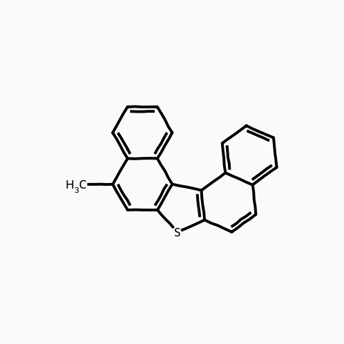 Cc1cc2sc3ccc4ccccc4c3c2c2ccccc12